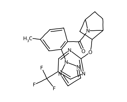 Cc1ccc(C(=O)N2C3CCC2C(Oc2ncc(C(F)(F)F)cn2)C3)c(-n2nccn2)c1